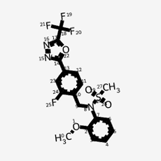 COc1ccccc1N(Cc1ccc(-c2nnc(C(F)(F)F)o2)cc1F)S(C)(=O)=O